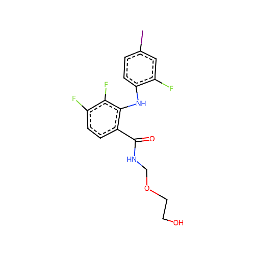 O=C(NCOCCO)c1ccc(F)c(F)c1Nc1ccc(I)cc1F